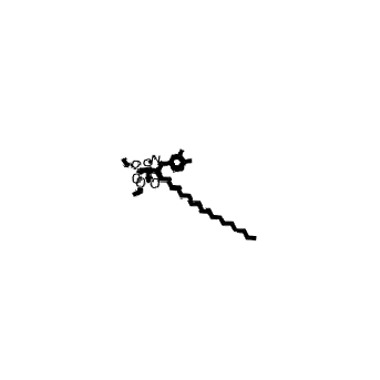 CCCCCCCCCCCCCCCCCCC1C(c2ccc(C)c(C)c2)=NOC1(C(=O)OCC)C(=O)OCC